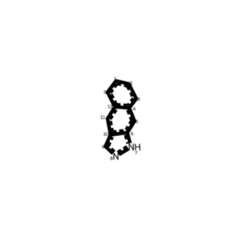 [c]1cccc2cc3[nH]ncc3cc12